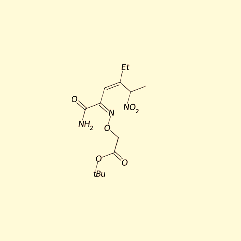 CCC(=CC(=NOCC(=O)OC(C)(C)C)C(N)=O)C(C)[N+](=O)[O-]